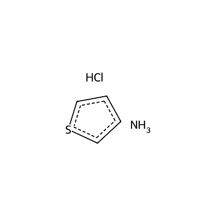 Cl.N.c1ccsc1